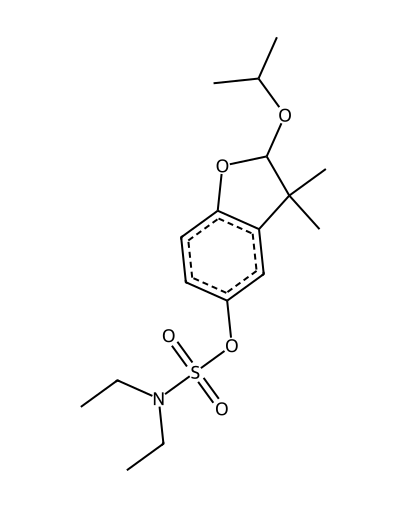 CCN(CC)S(=O)(=O)Oc1ccc2c(c1)C(C)(C)C(OC(C)C)O2